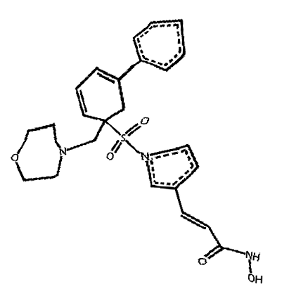 O=C(C=Cc1ccn(S(=O)(=O)C2(CN3CCOCC3)C=CC=C(c3ccccc3)C2)c1)NO